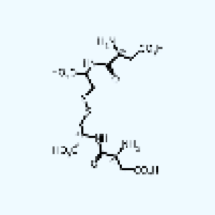 N[C@@H](CC(=O)O)C(=O)NC(CSSC[C@H](NC(=O)[C@@H](N)CC(=O)O)C(=O)O)C(=O)O